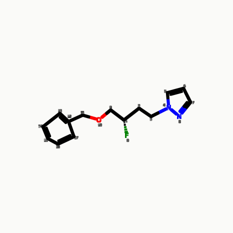 F[C@@H](CCn1cccn1)COCc1ccccc1